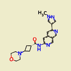 Cn1cc(-c2cc3cc(NC(=O)[C@H]4C[C@H](N5CCOCC5)C4)ncc3cn2)cn1